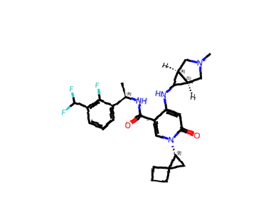 C[C@@H](NC(=O)c1cn([C@@H]2CC23CCC3)c(=O)cc1NC1[C@H]2CN(C)C[C@@H]12)c1cccc(C(F)F)c1F